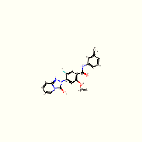 CCC[C@H](C)Oc1cc(-n2nc3ccccn3c2=O)c(F)cc1C(=O)Nc1cccc(C(F)(F)F)c1